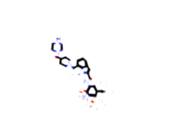 COc1c(NC(=O)c2cc3cccc(CN4CCC(C(=O)N5CCN(C)CC5)CC4)c3n2C)cc(C(C)(C)C)cc1NS(C)(=O)=O